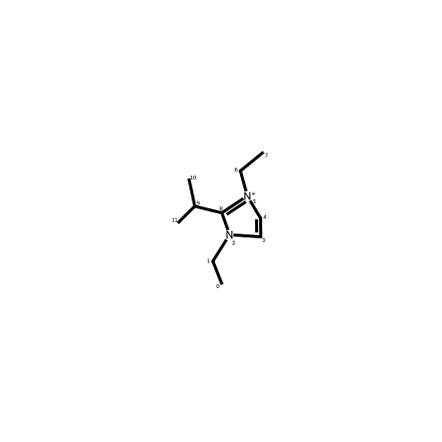 CCn1cc[n+](CC)c1C(C)C